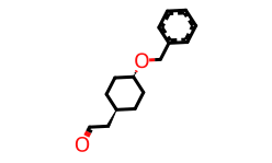 O=CC[C@H]1CC[C@H](OCc2ccccc2)CC1